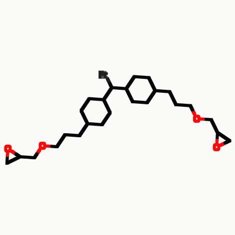 CCC(C1CCC(CCCOCC2CO2)CC1)C1CCC(CCCOCC2CO2)CC1